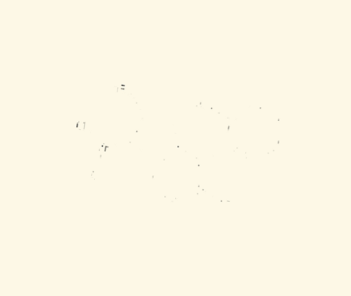 CCCCC1=Cc2c(ccc(CC)c2-c2ccccc2C)[CH]1[Zr]([Cl])[Cl]